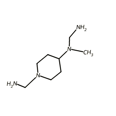 CN(CN)C1CCN(CN)CC1